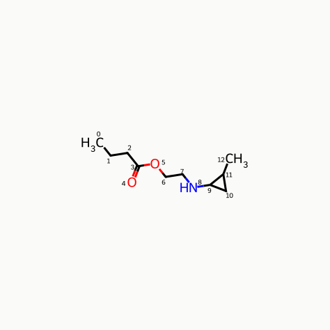 CCCC(=O)OCCNC1CC1C